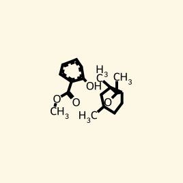 CC12CCC(CC1)C(C)(C)O2.COC(=O)c1ccccc1O